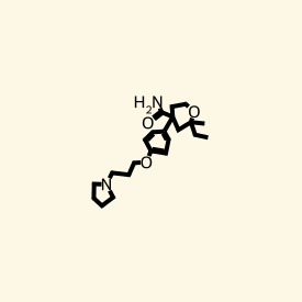 CCC1(C)CC(C(N)=O)(c2ccc(OCCCN3CCCC3)cc2)CCO1